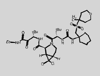 CCCC[C@H](NC(=O)[C@@H]1[C@@H]2[C@H](CN1C(=O)[C@@H](NC(=O)NC1(CS(=O)(=O)C3(C)CCOCC3)CCCCC1)C(C)(C)C)C2(Cl)Cl)C(=O)C(=O)NCC